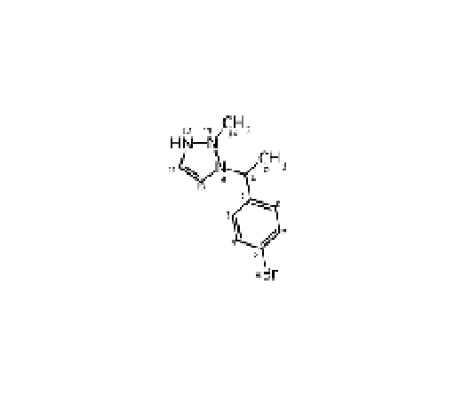 CC(c1ccc(Br)cc1)N1C=CNN1C